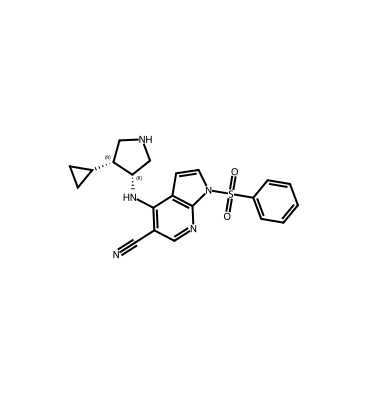 N#Cc1cnc2c(ccn2S(=O)(=O)c2ccccc2)c1N[C@H]1CNC[C@H]1C1CC1